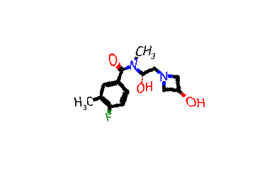 Cc1cc(C(=O)N(C)[C@@H](O)CN2CC(O)C2)ccc1F